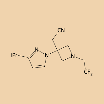 CC(C)c1ccn(C2(CC#N)CN(CC(F)(F)F)C2)n1